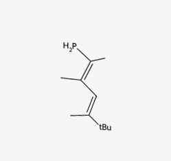 C/C(=C\C(C)=C(/C)P)C(C)(C)C